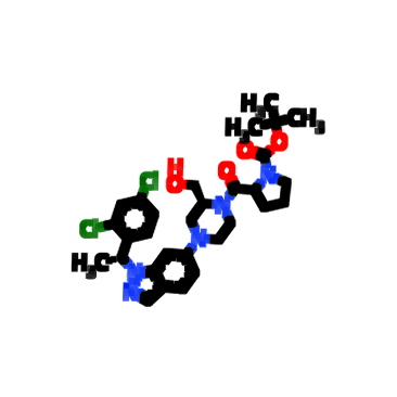 C[C@H](c1ccc(Cl)cc1Cl)n1ncc2ccc(N3CCN(C(=O)C4CCCN4C(=O)OC(C)(C)C)[C@H](CO)C3)cc21